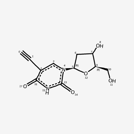 C#Cc1cn([C@H]2CC(O)[C@@H](CO)O2)c(=O)[nH]c1=O